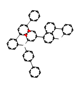 c1ccc(-c2ccc(-c3ccccc3N(c3ccc(-c4ccccc4)cc3)c3cccc(-c4ccc5c6c(cccc46)-c4ccccc4O5)c3)cc2)cc1